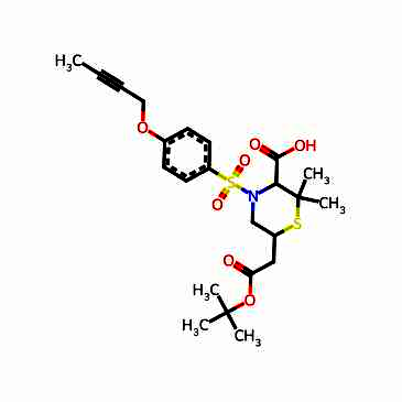 CC#CCOc1ccc(S(=O)(=O)N2CC(CC(=O)OC(C)(C)C)SC(C)(C)C2C(=O)O)cc1